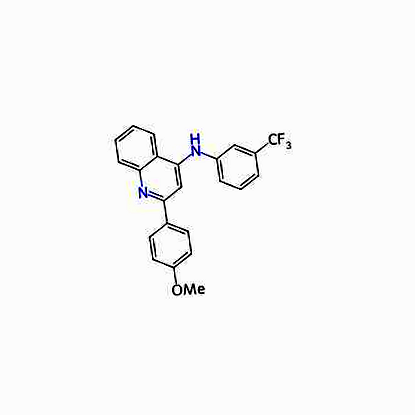 COc1ccc(-c2cc(Nc3cccc(C(F)(F)F)c3)c3ccccc3n2)cc1